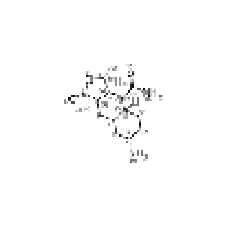 C[C@H]1OC(=O)[C@@H]2CC3C[C@@H](N)CC[C@H]3[C@H](C(N)=O)[C@H]12